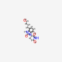 Cn1c(=O)n(C2CCC(=O)NC2=O)c2cccc(CCCC=O)c21